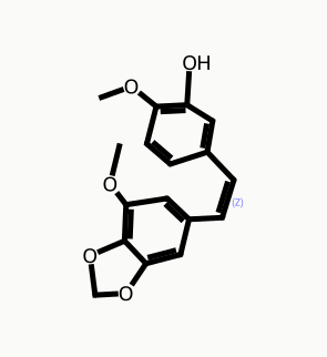 COc1ccc(/C=C\c2cc(OC)c3c(c2)OCO3)cc1O